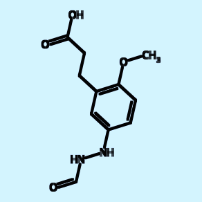 COc1ccc(NNC=O)cc1CCC(=O)O